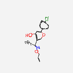 C=CCON=C(CCC)C1=C(O)C=C(c2ccc(Cl)cc2)OC1